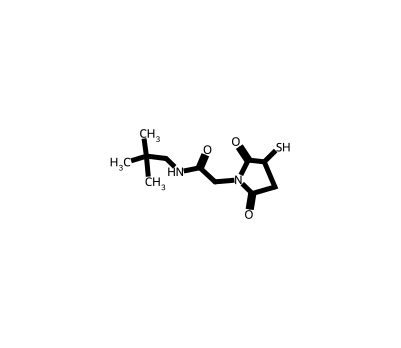 CC(C)(C)CNC(=O)CN1C(=O)CC(S)C1=O